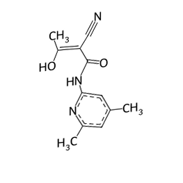 CC(O)=C(C#N)C(=O)Nc1cc(C)cc(C)n1